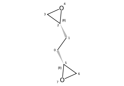 C(C[C@@H]1CO1)[C@@H]1CO1